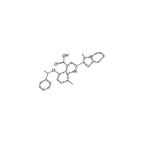 Cc1ccc(OC(C)c2ccccc2)c2c(C(=O)O)cc(-c3cc4ccccn4c3C)nc12